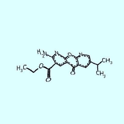 CCOC(=O)c1cc2c(=O)c3cc(C(C)C)cnc3oc2nc1N